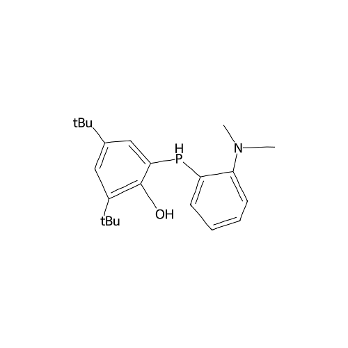 CN(C)c1ccccc1Pc1cc(C(C)(C)C)cc(C(C)(C)C)c1O